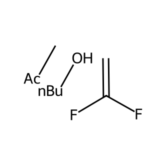 C=C(F)F.CC(C)=O.CCCCO